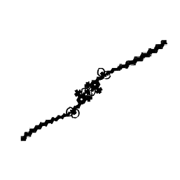 CCCCCCCCCCCCCCCCCCOC(=O)CCc1cc(C(C)(C)C)c(O[Si](C)(C)Oc2c(C(C)(C)C)cc(CCC(=O)OCCCCCCCCCCCCCCCCCC)cc2C(C)(C)C)c(C(C)(C)C)c1